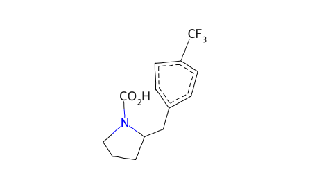 O=C(O)N1CCCC1Cc1ccc(C(F)(F)F)cc1